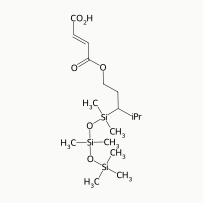 CC(C)C(CCOC(=O)C=CC(=O)O)[Si](C)(C)O[Si](C)(C)O[Si](C)(C)C